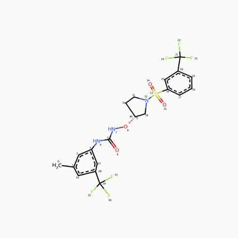 Cc1cc(NC(=O)NO[C@@H]2CCN(S(=O)(=O)c3cccc(C(F)(F)F)c3)C2)cc(C(F)(F)F)c1